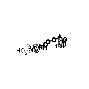 CC(C)[C@H](NC(=O)O)C(=O)N1CCC[C@H]1c1ncc(-c2ccc3cc(-c4ccc(-c5cnc([C@@H]6CCCN6C(=O)OC(C)(C)C)[nH]5)cc4)ccc3c2)[nH]1